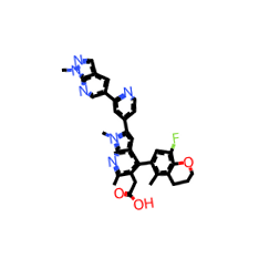 Cc1nc2c(cc(-c3ccnc(-c4cnc5c(cnn5C)c4)c3)n2C)c(-c2cc(F)c3c(c2C)CCCO3)c1CC(=O)O